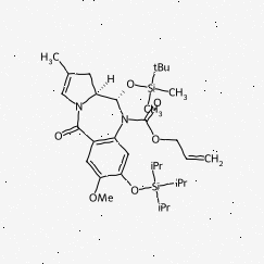 C=CCOC(=O)N1c2cc(O[Si](C(C)C)(C(C)C)C(C)C)c(OC)cc2C(=O)N2C=C(C)C[C@H]2[C@@H]1O[Si](C)(C)C(C)(C)C